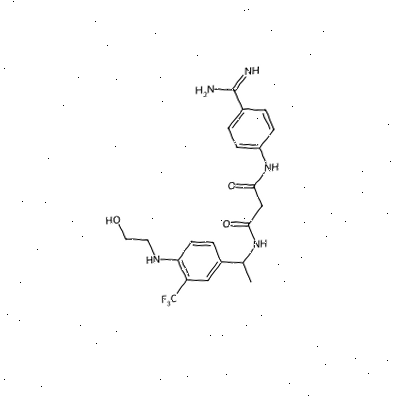 CC(NC(=O)CC(=O)Nc1ccc(C(=N)N)cc1)c1ccc(NCCO)c(C(F)(F)F)c1